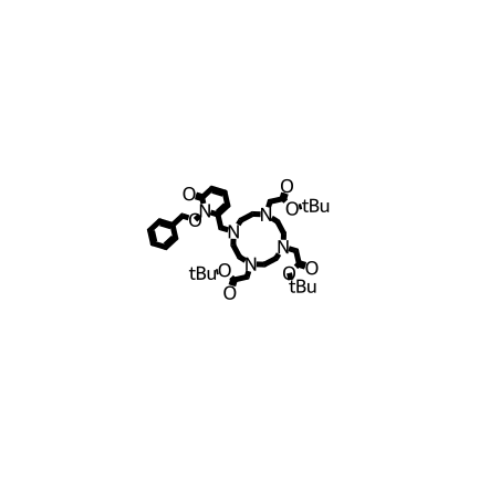 CC(C)(C)OC(=O)CN1CCN(CC(=O)OC(C)(C)C)CCN(Cc2cccc(=O)n2OCc2ccccc2)CCN(CC(=O)OC(C)(C)C)CC1